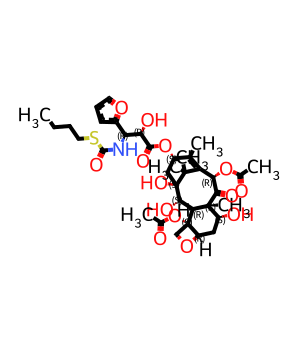 CCCCSC(=O)N[C@@H](c1ccco1)[C@@H](O)C(=O)O[C@H]1C[C@@]2(O)[C@@H](O)[C@@H]3[C@]4(OC(C)=O)CO[C@@H]4C[C@H](O)[C@@]3(C)C(=O)[C@H](OC(C)=O)C(=C1C)C2(C)C